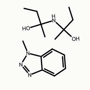 CCC(C)(O)NC(C)(O)CC.Cn1nnc2ccccc21